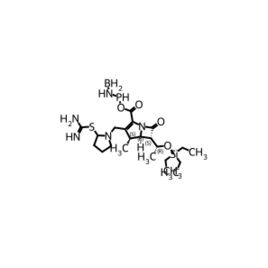 BNPOC(=O)C1=C(CN2CCCC2SC(=N)N)[C@H](C)[C@@H]2[C@@H]([C@@H](C)O[Si](CC)(CC)CC)C(=O)N12